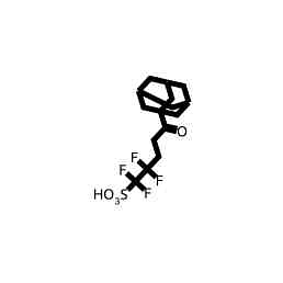 O=C(CCC(F)(F)C(F)(F)S(=O)(=O)O)C12CC3CC(CC(C3)C1)C2